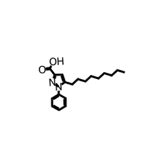 CCCCCCCCCc1cc(C(=O)O)nn1-c1ccccc1